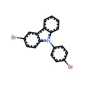 Brc1ccc(-n2c3ccccc3c3cc(Br)ccc32)cc1